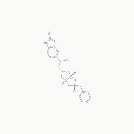 O=c1[nH]c2ccc(C(O)CN3C[C@@H]4C[C@](O)(Cc5ccccc5)C[C@@H]4C3)cc2o1